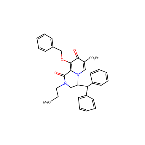 CCOC(=O)c1cn2c(c(OCc3ccccc3)c1=O)C(=O)N(CCOC)CC2C(c1ccccc1)c1ccccc1